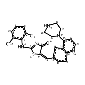 O=C1N=C(Nc2c(Cl)cccc2Cl)SC1=Cc1ccc2nccc(N3CCNCC3)c2c1